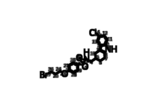 O=S(=O)(NCC1CCc2[nH]c3ccc(Cl)cc3c2C1)c1ccc(OCCCBr)cc1